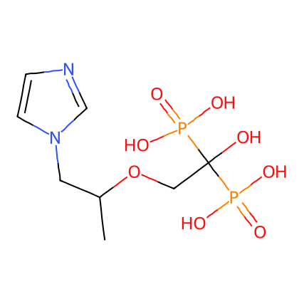 CC(Cn1ccnc1)OCC(O)(P(=O)(O)O)P(=O)(O)O